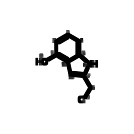 Oc1cccc2[nH]c(CCl)cc12